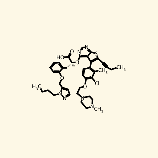 CCC#Cc1sc2ncnc(O[C@H](Cc3ccccc3OCc3ccnn3CCCC)C(=O)O)c2c1-c1ccc(OCCN2CCN(C)CC2)c(Cl)c1C